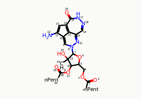 CCCCCC(=O)OCC1OC(n2cc3c(N)cc4c(=O)[nH]ncc(n2)c34)C(C)(O)C1OC(=O)CCCCC